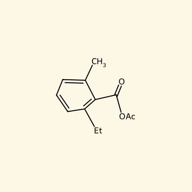 CCc1cccc(C)c1C(=O)OC(C)=O